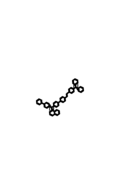 C(=C\c1ccc(N(c2ccccc2)c2ccccc2)cc1)/c1ccc(-c2ccc(N(c3ccc(-c4ccccc4)cc3)c3cccc4ccccc34)cc2)cc1